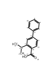 CN(C)c1cc(-c2ccccc2)ccc1C(=O)O